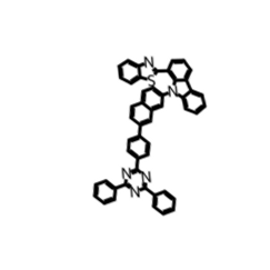 c1ccc(-c2nc(-c3ccccc3)nc(-c3ccc(-c4ccc5ccc(-n6c7ccccc7c7cccc(-c8nc9ccccc9s8)c76)cc5c4)cc3)n2)cc1